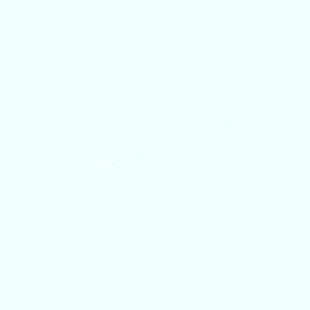 OCCCCCCOc1cc[c]cc1